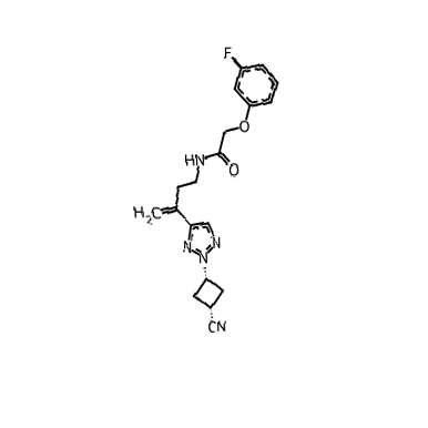 C=C(CCNC(=O)COc1cccc(F)c1)c1cnn([C@H]2C[C@@H](C#N)C2)n1